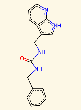 O=C(NCc1ccccc1)NCc1c[nH]c2ncccc12